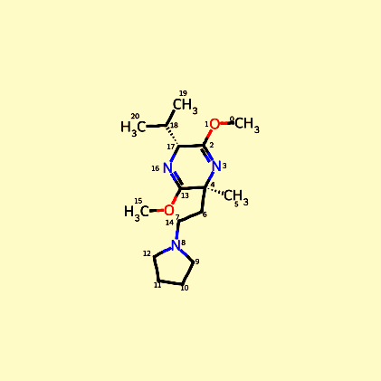 COC1=N[C@@](C)(CCN2CCCC2)C(OC)=N[C@@H]1C(C)C